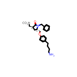 NCCCCc1ccc(OC[C@@H]2C[C@@H](CC(=O)O)C(=O)N2Cc2ccccc2)cc1